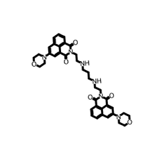 O=C1c2cccc3cc(N4CCOCC4)cc(c23)C(=O)N1CCNCCCNCCN1C(=O)c2cccc3cc(N4CCOCC4)cc(c23)C1=O